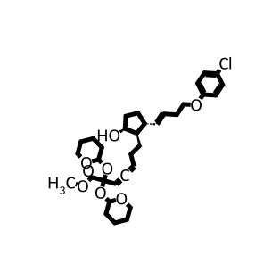 COC(=O)C(C=C=CCC[C@H]1[C@@H](O)CC[C@@H]1/C=C/CCOc1ccc(Cl)cc1)(OC1CCCCO1)OC1CCCCO1